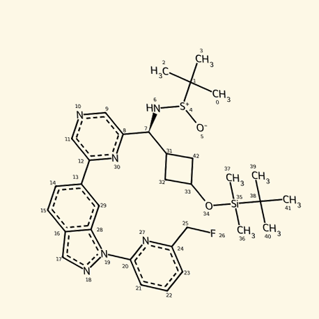 CC(C)(C)[S+]([O-])N[C@H](c1cncc(-c2ccc3cnn(-c4cccc(CF)n4)c3c2)n1)C1CC(O[Si](C)(C)C(C)(C)C)C1